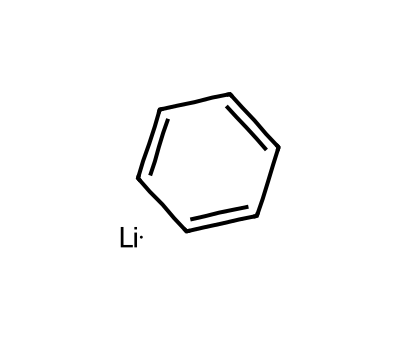 [Li].c1ccccc1